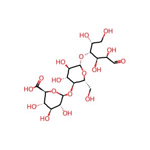 O=C[C@H](O)[C@@H](O)[C@H](O[C@@H]1O[C@H](CO)[C@@H](O[C@@H]2O[C@H](C(=O)O)[C@@H](O)[C@H](O)[C@H]2O)[C@H](O)[C@H]1O)[C@H](O)CO